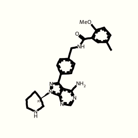 COc1ccc(C)cc1C(=O)NCc1ccc(-c2nn([C@@H]3CCCNC3)c3ncnc(N)c23)cc1